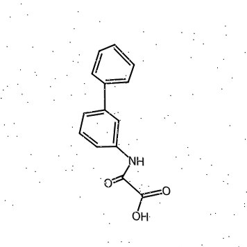 O=C(O)C(=O)Nc1cccc(-c2ccccc2)c1